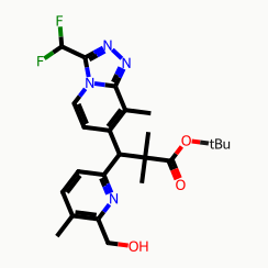 Cc1ccc(C(c2ccn3c(C(F)F)nnc3c2C)C(C)(C)C(=O)OC(C)(C)C)nc1CO